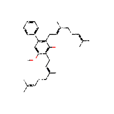 COc1cc(-c2ccccc2)c(C/C=C(\C)CCC=C(C)C)c(O)c1C/C=C(\C)CCC=C(C)C